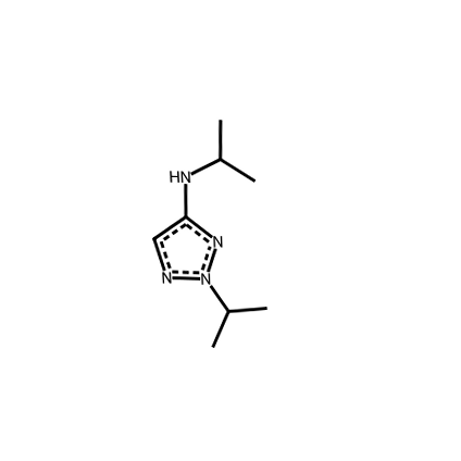 CC(C)Nc1cnn(C(C)C)n1